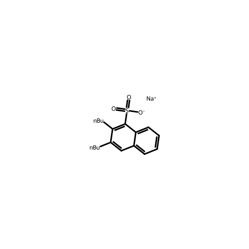 CCCCc1cc2ccccc2c(S(=O)(=O)[O-])c1CCCC.[Na+]